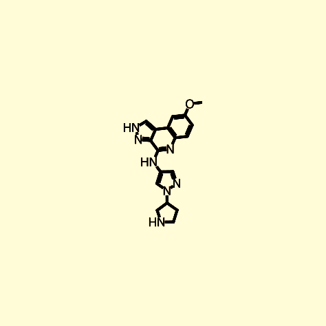 COc1ccc2nc(Nc3cnn(C4CCNC4)c3)c3n[nH]cc3c2c1